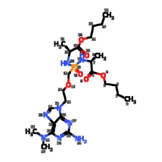 CCCCOC(=O)[C@H](C)NP(=O)(COCCn1cnc2c(N(C)C)nc(N)nc21)N[C@@H](C)C(=O)OCCCC